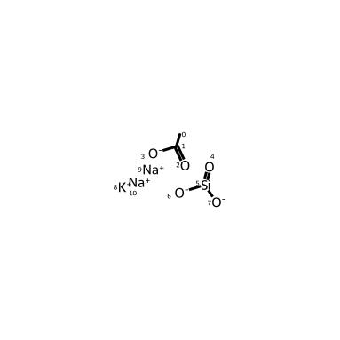 CC(=O)[O-].O=[Si]([O-])[O-].[K+].[Na+].[Na+]